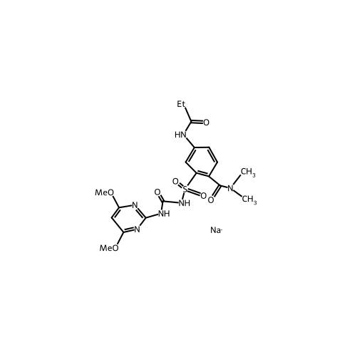 CCC(=O)Nc1ccc(C(=O)N(C)C)c(S(=O)(=O)NC(=O)Nc2nc(OC)cc(OC)n2)c1.[Na]